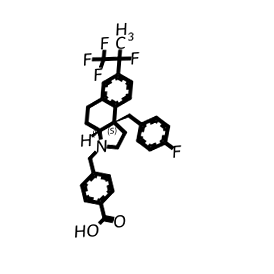 CC(F)(c1ccc2c(c1)CC[C@H]1N(Cc3ccc(C(=O)O)cc3)CC[C@@]21Cc1ccc(F)cc1)C(F)(F)F